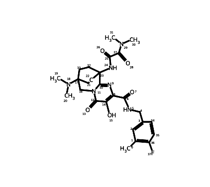 Cc1cc(CNC(=O)c2nc3n(c(=O)c2O)CC2(N(C)C)CCC3(NC(=O)C(=O)N(C)C)CC2)ccc1F